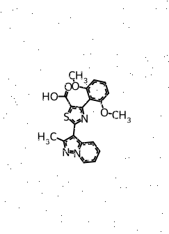 COc1cccc(OC)c1-c1nc(-c2c(C)nn3ccccc23)sc1C(=O)O